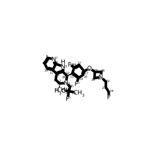 C[C@@H]1Cc2c([nH]c3ncccc23)[C@@H](c2c(F)cc(OC3CN(CCCF)C3)cc2F)N1CC(C)(C)F